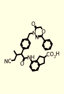 CC(CC#N)C(C(=O)Nc1cccc2c1CC(C(=O)O)C2)c1ccc(CN2N=C(c3ccccc3)OCC2=O)cc1